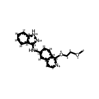 COCCOc1nccc2cc(Nc3n[nH]c4ccccc34)ccc12